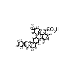 Cc1nc(C)c(-c2ccc3c(c2)CCN(CC2CC4C=CC2C4)C3)c(N2CCC(C)(C)CC2)c1CC(=O)O